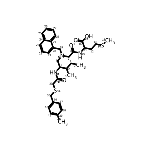 CCC(C)C(CN(CC(=O)NC(CCSC)C(=O)O)Cc1cccc2ccccc12)NC(=O)CSCc1ccc(C)cc1